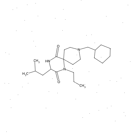 CCCN1C(=O)C(CC(C)C)NC(=O)C12CCN(CC1CCCCC1)CC2